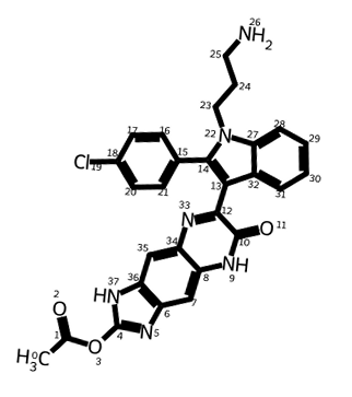 CC(=O)Oc1nc2cc3[nH]c(=O)c(-c4c(-c5ccc(Cl)cc5)n(CCCN)c5ccccc45)nc3cc2[nH]1